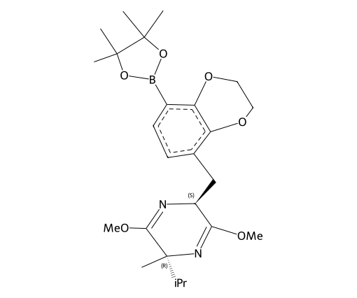 COC1=N[C@](C)(C(C)C)C(OC)=N[C@H]1Cc1ccc(B2OC(C)(C)C(C)(C)O2)c2c1OCCO2